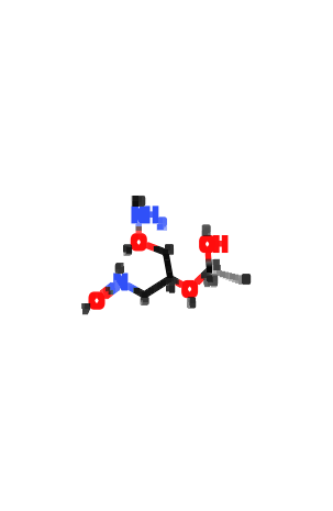 C[C@@H](O)OC(CN=O)CON